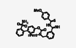 CCCCCN(Cc1cccc(C(=N)NC(=S)c2ccc(OC)cc2)c1)C(=O)Oc1ccc(-c2ccccc2S(N)(=O)=O)cc1